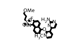 COCCCS(=O)(=O)Nc1c(F)ccc2c(Oc3ncccc3-c3ccnc(N)n3)c(C)ccc12